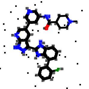 CN1CCC(C(=O)Nc2cncc(-c3cnc4[nH]nc(-c5nc6c(-c7ccccc7F)cccc6[nH]5)c4c3)c2)CC1